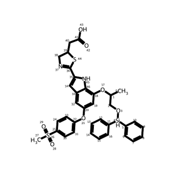 CC(CO[SiH](c1ccccc1)c1ccccc1)Oc1cc(Oc2ccc(S(C)(=O)=O)cc2)cc2cc(C3=NCC(CC(=O)O)S3)[nH]c12